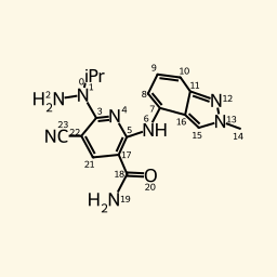 CC(C)N(N)c1nc(Nc2cccc3nn(C)cc23)c(C(N)=O)cc1C#N